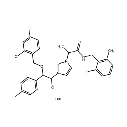 Br.Cc1cccc(Cl)c1CNC(=O)C(C)N1C=CN(C(Cl)C(OCc2ccc(Cl)cc2Cl)c2ccc(Cl)cc2)C1